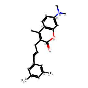 Cc1c(C/C=C/c2cc(C(F)(F)F)cc(C(F)(F)F)c2)c(=O)oc2cc(N(C)C)ccc12